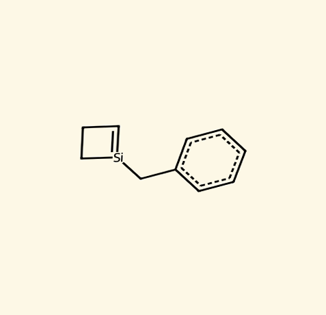 C1=[Si](Cc2ccccc2)CC1